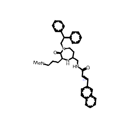 CNCCCC1NC(CNC(=O)/C=C/c2ccc3ccccc3c2)CCN(CC(c2ccccc2)c2ccccc2)C1=O